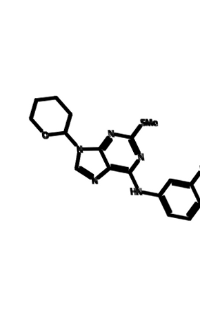 CSc1nc(Nc2cccc(F)c2)c2ncn(C3CCCCO3)c2n1